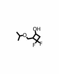 CC(C)OCC1C(O)CC1(F)F